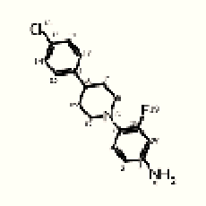 Nc1ccc(N2CCC(c3ccc(Cl)cc3)CC2)c(F)c1